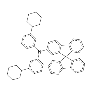 c1cc(C2CCCCC2)cc(N(c2cccc(C3CCCCC3)c2)c2ccc3c(c2)C2(c4ccccc4-c4ccccc42)c2ccccc2-3)c1